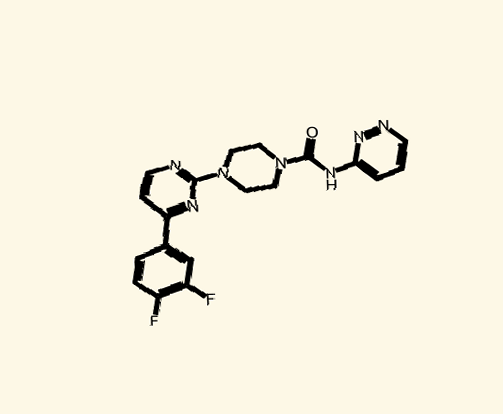 O=C(Nc1cccnn1)N1CCN(c2nccc(-c3ccc(F)c(F)c3)n2)CC1